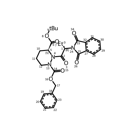 CC[C@H](C(=O)N1[C@H](C(=O)OC(C)(C)C)CCCN1C(=O)OCc1ccccc1)N1C(=O)c2ccccc2C1=O